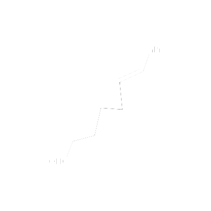 [CH2]CCC=CCCCCC=O